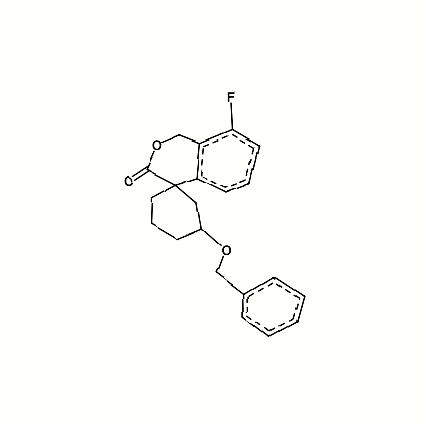 O=C1OCc2c(F)cccc2C12CCCC(OCc1ccccc1)C2